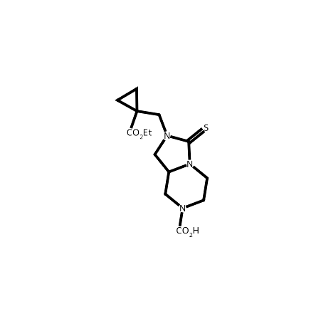 CCOC(=O)C1(CN2CC3CN(C(=O)O)CCN3C2=S)CC1